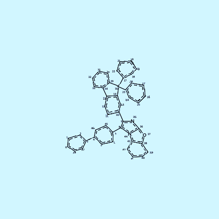 c1ccc(-c2ccc(-c3c(-c4ccc5c(c4)C(c4ccccc4)(c4ccccc4)c4ccccc4-5)nc4oc5ccccc5n34)cc2)cc1